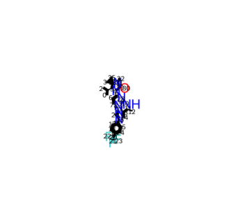 CC(C)[C@@H]1N(c2ccnc(N[C@@H](C)c3cn(-c4ccc(C(F)(F)F)cc4)cn3)n2)C(=O)N(C)C12CC2